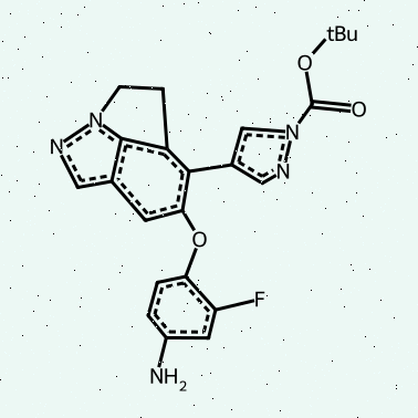 CC(C)(C)OC(=O)n1cc(-c2c(Oc3ccc(N)cc3F)cc3cnn4c3c2CC4)cn1